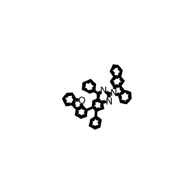 c1ccc(-c2cc3nc(-n4c5ccccc5c5cc6ccccc6cc54)nc(-c4ccccc4)c3cc2-c2cccc3c2oc2ccccc23)cc1